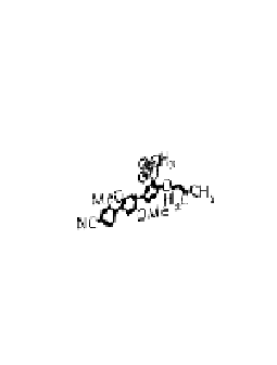 COc1cc(-c2ccc(OCC=C(C)C)c(OS(C)(=O)=O)c2)c(OC)cc1-c1ccc(C#N)cc1